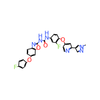 Cn1cc(-c2cc(Oc3ccc(NC(=O)Nc4nc5ccc(Oc6ccc(F)cc6)cc5o4)cc3F)ccn2)cn1